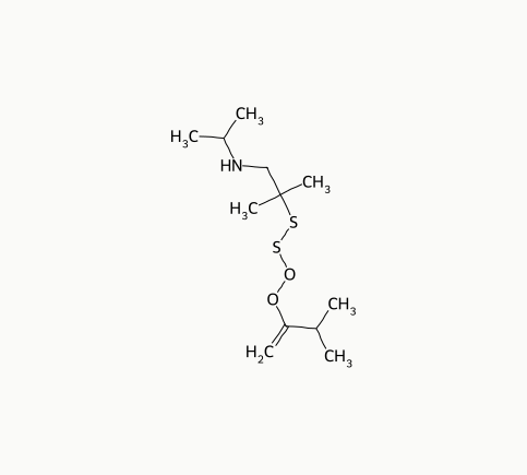 C=C(OOSSC(C)(C)CNC(C)C)C(C)C